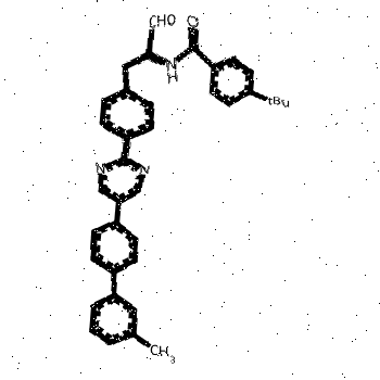 Cc1cccc(-c2ccc(-c3cnc(-c4ccc(CC(C=O)NC(=O)c5ccc(C(C)(C)C)cc5)cc4)nc3)cc2)c1